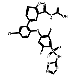 O=C(O)Nc1noc2ccc(-c3cc(Cl)ccc3Oc3cc(F)c(S(=O)(=O)Nc4ncns4)cc3F)cc12